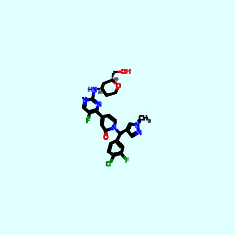 Cn1cc(C(c2ccc(Cl)c(F)c2)n2ccc(-c3nc(N[C@H]4CCO[C@@H](CO)C4)ncc3F)cc2=O)cn1